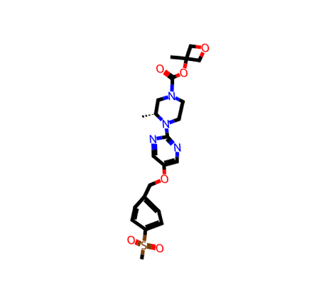 C[C@@H]1CN(C(=O)OC2(C)COC2)CCN1c1ncc(OCc2ccc(S(C)(=O)=O)cc2)cn1